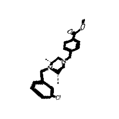 COC(=O)c1ccc(CN2C[C@@H](C)N(Cc3cccc(Cl)c3)[C@@H](C)C2)cc1